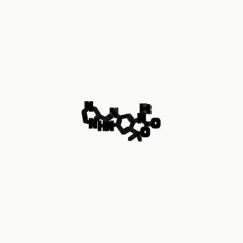 CCN1C(=O)OC(C)(C)c2cc3[nH]c(-c4cnccn4)nc3cc21